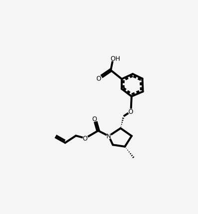 C=CCOC(=O)N1C[C@@H](C)C[C@H]1COc1cccc(C(=O)O)c1